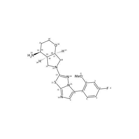 COc1cc(F)ccc1-c1cnc2sc(N3C[C@@H]4[C@H](C3)OCC[C@@H]4N)nn12